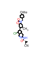 COc1ccc(Cn2c(=O)oc3cc(-c4cc(Cl)c5cnc(NC(=O)[C@@H]6C[C@H]6C#N)cc5c4)c(C)cc32)cc1